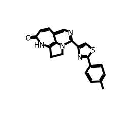 Cc1ccc(-c2nc(C3=NC=C4C=CC(=O)NC5=C4N3CC5)cs2)cc1